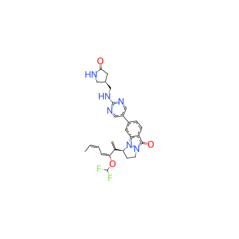 C=C(/C(=C\C=C/C)OC(F)F)[C@@H]1CCn2c(=O)c3ccc(-c4cnc(NC[C@H]5CNC(=O)C5)nc4)cc3n21